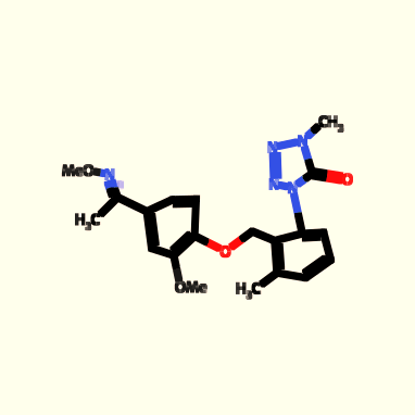 CO/N=C(\C)c1ccc(OCc2c(C)cccc2-n2nnn(C)c2=O)c(OC)c1